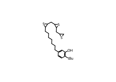 CC(C)(C)c1ccc(CCCCCCCC2SC2CC2SC2CC2CS2)cc1O